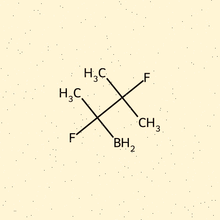 BC(C)(F)C(C)(C)F